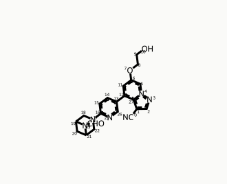 N#Cc1cnn2cc(OCCO)cc(-c3ccc(N4CC5CC(C4)N5C=O)nc3)c12